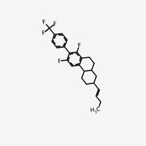 CCC=CC1CCC2c3cc(F)c(-c4ccc(C(F)(F)F)cc4)c(F)c3CCC2C1